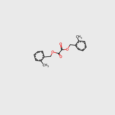 Cc1ccccc1COC(=O)C(=O)OCc1ccccc1C